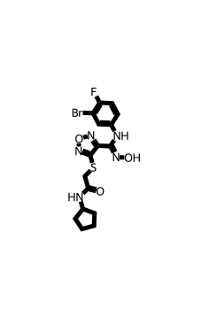 O=C(CSc1nonc1/C(=N/O)Nc1ccc(F)c(Br)c1)NC1CCCC1